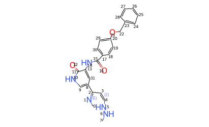 C/N=C(\C=C/NNC)c1c[nH]c(=O)c(NC(=O)c2ccc(OCc3ccccc3)cc2)c1